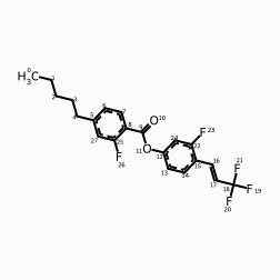 CCCCCc1ccc(C(=O)Oc2ccc(/C=C/C(F)(F)F)c(F)c2)c(F)c1